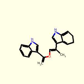 C=C(O/C=C(\C)c1c[nH]c2c1=CCCC=2)c1c[nH]c2ccccc12